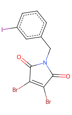 O=C1C(Br)=C(Br)C(=O)N1Cc1cccc(I)c1